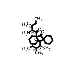 CC[C@H](C)[C@H](N)C(=O)C1(C(=O)C2(C(=O)[C@@H](N)[C@@H](C)CC)CCCCC2)CCCCC1